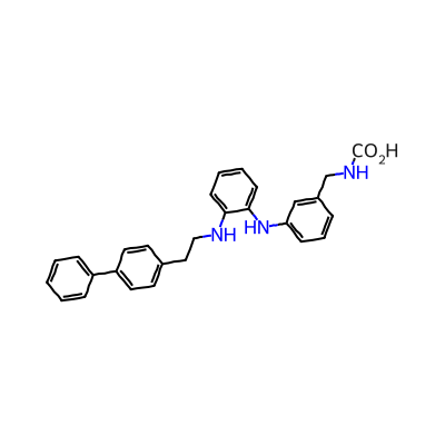 O=C(O)NCc1cccc(Nc2ccccc2NCCc2ccc(-c3ccccc3)cc2)c1